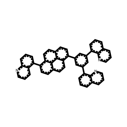 c1cnc2c(-c3cc(-c4ccc5ccc6c(-c7cccc8ncccc78)ccc7ccc4c5c76)cc(-c4cccc5cccnc45)c3)cccc2c1